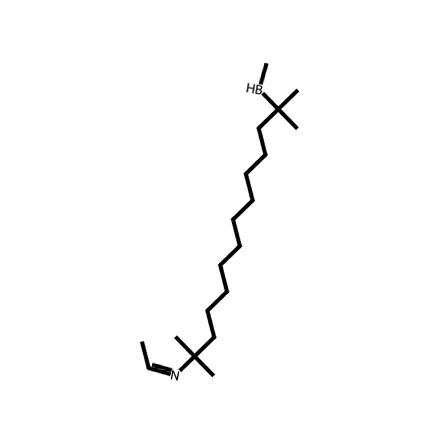 CBC(C)(C)CCCCCCCCCCC(C)(C)/N=C\C